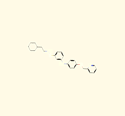 c1ccc(COc2ccc(Nc3cccc(SNCCC4CCCCC4)c3)cc2)nc1